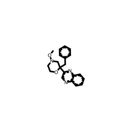 CON1CCOC(Cc2ccccc2)(c2cnc3ccccc3n2)C1